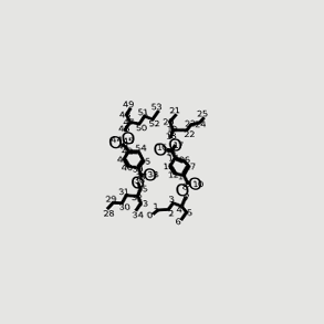 CCCCC(CC)COC(=O)c1ccc(C(=O)OCC(CC)CCCC)cc1.CCCCC(CC)COC(=O)c1ccc(C(=O)OCC(CC)CCCC)cc1